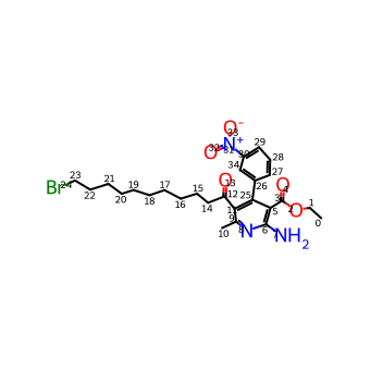 CCOC(=O)c1c(N)nc(C)c(C(=O)CCCCCCCCCCBr)c1-c1cccc([N+](=O)[O-])c1